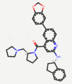 O=C(c1cc(N[C@H]2CCc3ccccc32)nc2ccc(-c3ccc4c(c3)OCO4)cc12)N1CCC[C@H]1CN1CCCC1